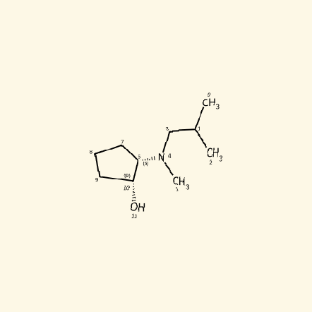 CC(C)CN(C)[C@H]1CCC[C@H]1O